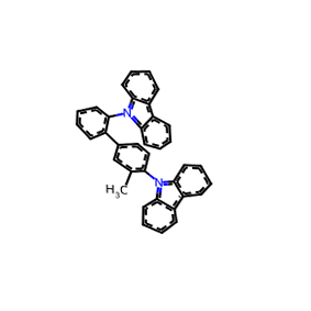 Cc1cc(-c2ccccc2-n2c3ccccc3c3ccccc32)ccc1-n1c2ccccc2c2ccccc21